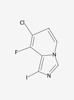 Fc1c(Cl)ccn2cnc(I)c12